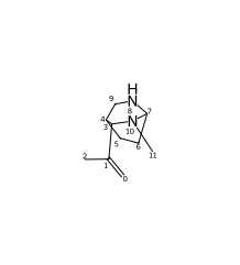 C=C(C)C1C2CCC(NC2)N1C